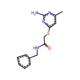 Cc1cc(SCC(=O)NCc2ccccc2)nc(N)n1